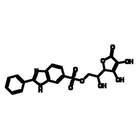 O=C1OC(C(O)COS(=O)(=O)c2ccc3nc(-c4ccccc4)[nH]c3c2)C(O)=C1O